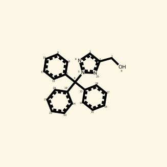 OCc1cnn(C(c2ccccc2)(c2ccccc2)c2ccccc2)n1